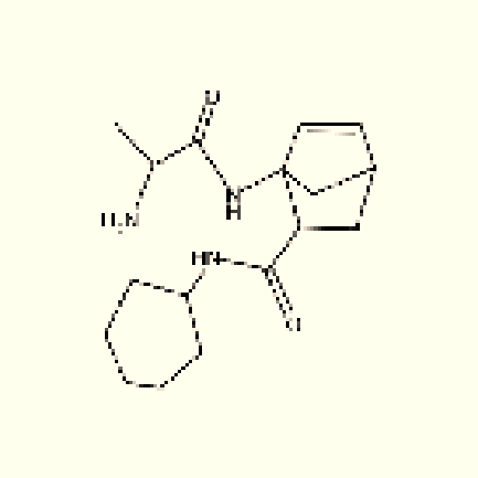 CC(N)C(=O)NC12C=CC(CC1C(=O)NC1CCCCC1)C2